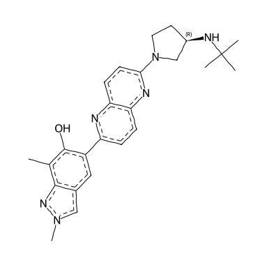 Cc1c(O)c(-c2ccc3nc(N4CC[C@@H](NC(C)(C)C)C4)ccc3n2)cc2cn(C)nc12